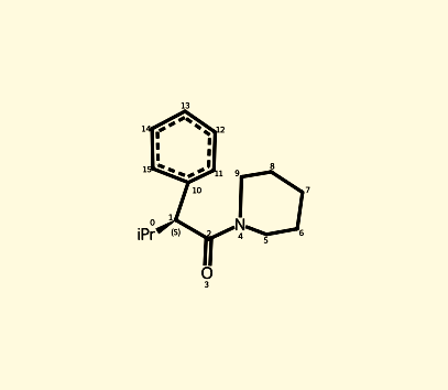 CC(C)[C@H](C(=O)N1CCCCC1)c1ccccc1